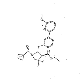 CCSN[C@@H]1[C@H](Cc2cccc(-c3cccc(OC)n3)c2)N(C(=O)C23CC(C2)C3)CC1(F)F